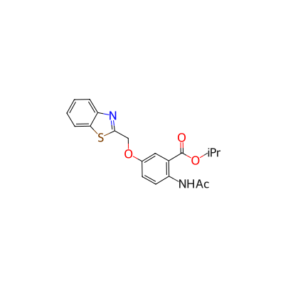 CC(=O)Nc1ccc(OCc2nc3ccccc3s2)cc1C(=O)OC(C)C